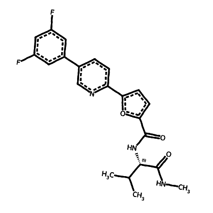 CNC(=O)[C@@H](NC(=O)c1ccc(-c2ccc(-c3cc(F)cc(F)c3)cn2)o1)C(C)C